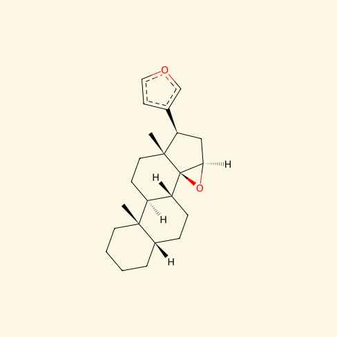 C[C@]12CCCC[C@H]1CC[C@@H]1[C@@H]2CC[C@]2(C)[C@@H](c3ccoc3)C[C@H]3O[C@]132